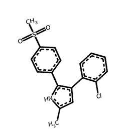 Cc1cc(-c2ccccc2Cl)c(-c2ccc(S(C)(=O)=O)cc2)[nH]1